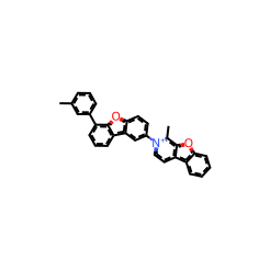 Cc1cccc(-c2cccc3c2oc2ccc(-[n+]4ccc5c(oc6ccccc65)c4C)cc23)c1